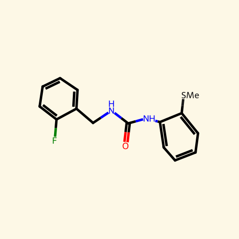 CSc1ccccc1NC(=O)NCc1ccccc1F